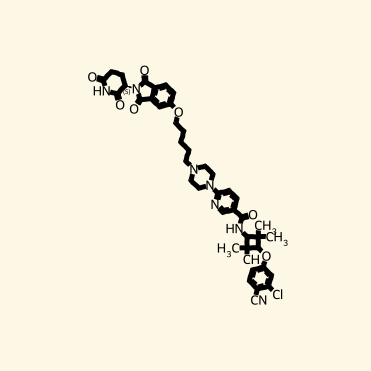 CC1(C)C(NC(=O)c2ccc(N3CCN(CCCCCOc4ccc5c(c4)C(=O)N([C@H]4CCC(=O)NC4=O)C5=O)CC3)nc2)C(C)(C)C1Oc1ccc(C#N)c(Cl)c1